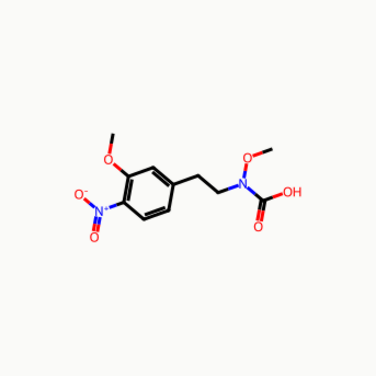 COc1cc(CCN(OC)C(=O)O)ccc1[N+](=O)[O-]